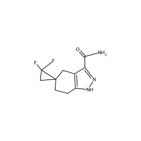 NC(=O)c1n[nH]c2c1CC1(CC2)CC1(F)F